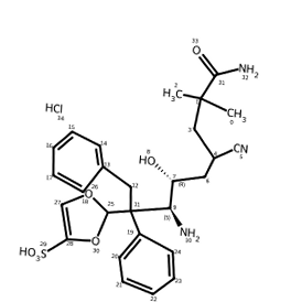 CC(C)(CC(C#N)C[C@@H](O)[C@@H](N)C(Cc1ccccc1)(c1ccccc1)C1OC=C(S(=O)(=O)O)O1)C(N)=O.Cl